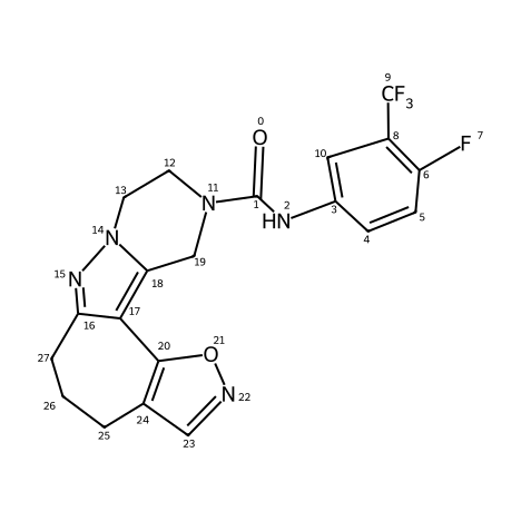 O=C(Nc1ccc(F)c(C(F)(F)F)c1)N1CCn2nc3c(c2C1)-c1oncc1CCC3